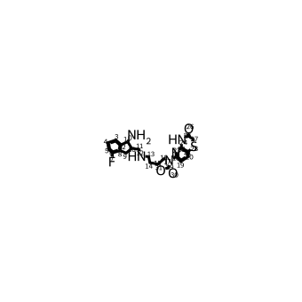 NC1c2cccc(F)c2CC1CNCCC1CN(c2ccc3c(n2)NC(=O)CS3)C(=O)O1